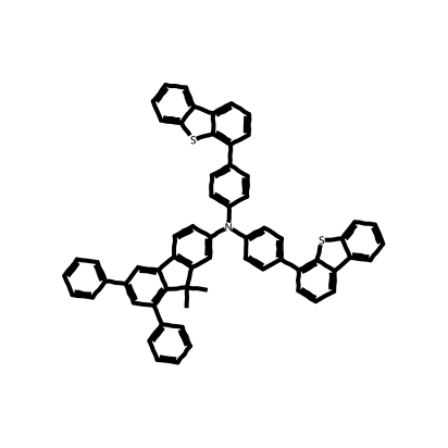 CC1(C)c2cc(N(c3ccc(-c4cccc5c4sc4ccccc45)cc3)c3ccc(-c4cccc5c4sc4ccccc45)cc3)ccc2-c2cc(-c3ccccc3)cc(-c3ccccc3)c21